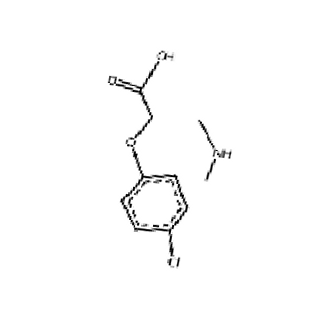 CNC.O=C(O)COc1ccc(Cl)cc1